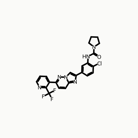 O=C(Nc1cc(-c2cn3nc(-c4cccnc4C(F)(F)F)ccc3n2)ccc1Cl)N1CCCC1